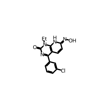 CCn1c(=O)nc(-c2cccc(Cl)c2)c2ccc(=NO)[nH]c21